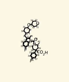 Cc1c(CC2CCC(OC3CCOCC3)CC2)c2ccc(F)cc2n1C(=O)N1CC[C@@](C(=O)O)(c2ccc(F)cc2)C[C@@H]1C